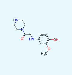 COc1cc(NCC(=O)N2CCNCC2)ccc1O